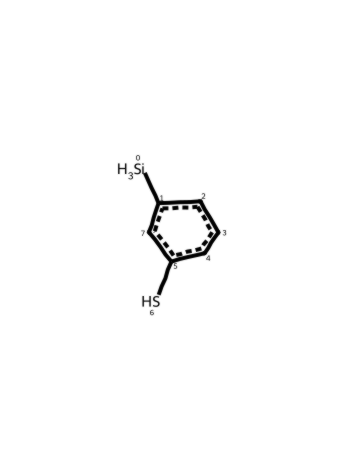 [SiH3]c1cccc(S)c1